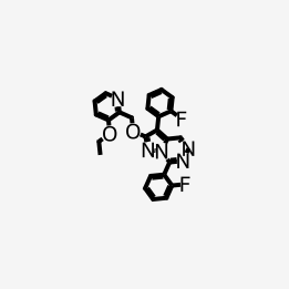 CCOc1cccnc1COc1nn2c(-c3ccccc3F)nncc2c1-c1ccccc1F